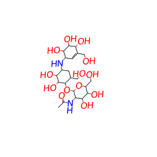 CC(=O)NC1C(OC2C(CO)CC(NC3C=C(CO)C(O)C(O)C3O)C(O)C2O)OC(CO)C(O)C1O